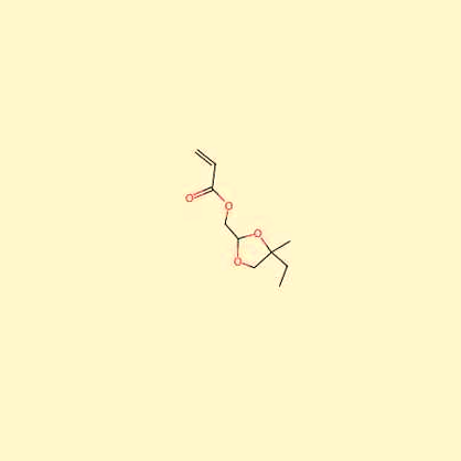 C=CC(=O)OCC1OCC(C)(CC)O1